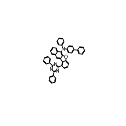 c1ccc(-c2ccc(N(c3ccccc3)c3c4ccccc4cc4c3oc3cccc(-c5nc(-c6ccccc6)nc(-c6ccccc6)n5)c34)cc2)cc1